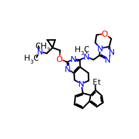 CCc1cccc2cccc(N3CCc4c(nc(OCC5(CN(C)C)CC5)nc4N(C)Cc4nnc5n4CCOC5)C3)c12